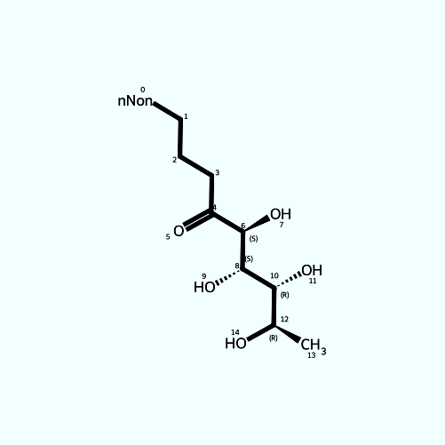 CCCCCCCCCCCCC(=O)[C@@H](O)[C@@H](O)[C@H](O)[C@@H](C)O